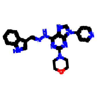 C(=NNc1nc(N2CCOCC2)nc2c1ncn2-c1ccncc1)c1c[nH]c2ccccc12